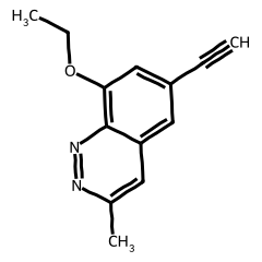 C#Cc1cc(OCC)c2nnc(C)cc2c1